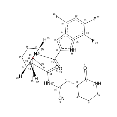 N#C[C@@H](C[C@H]1CCCNC1=O)NC(=O)[C@@H]1[C@@H]2CC[C@@H](CC2(F)F)N1C(=O)c1cc2c(F)cc(F)c(F)c2[nH]1